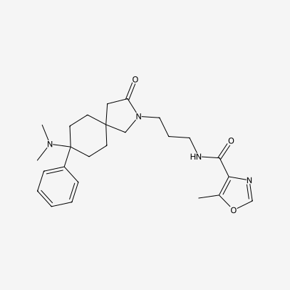 Cc1ocnc1C(=O)NCCCN1CC2(CCC(c3ccccc3)(N(C)C)CC2)CC1=O